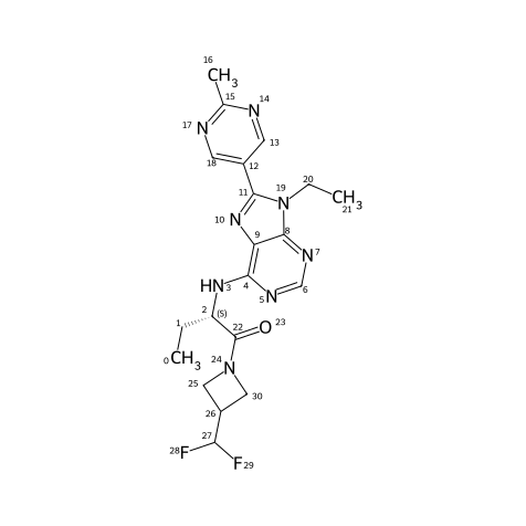 CC[C@H](Nc1ncnc2c1nc(-c1cnc(C)nc1)n2CC)C(=O)N1CC(C(F)F)C1